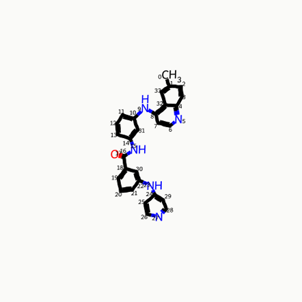 Cc1ccc2nccc(Nc3cccc(NC(=O)c4cccc(Nc5ccncc5)c4)c3)c2c1